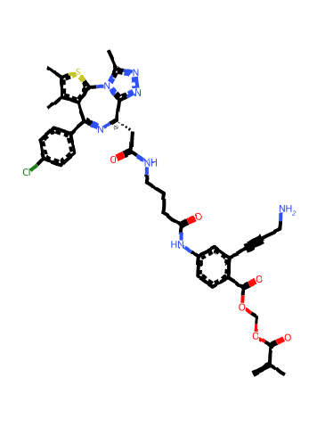 C=C(C)C(=O)OCOC(=O)c1ccc(NC(=O)CCCNC(=O)C[C@@H]2N=C(c3ccc(Cl)cc3)c3c(sc(C)c3C)-n3c(C)nnc32)cc1C#CCN